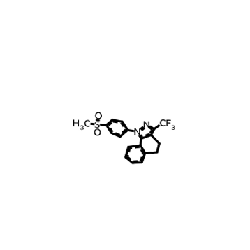 CS(=O)(=O)c1ccc(-n2nc(C(F)(F)F)c3c2-c2ccccc2CC3)cc1